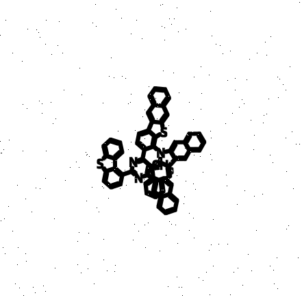 Cc1c(-c2ccc3ccccc3c2)nc(-c2cccc3sc4ccccc4c23)nc1-c1ccc2c(sc3cc4ccccc4cc32)c1-n1c2cc3ccccc3cc2c2cc3ccccc3cc21